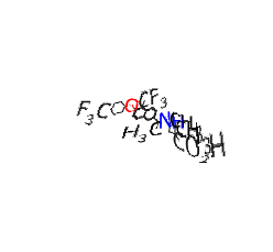 C[C@H](NC1CC(C(=O)O)C1(C)C)c1ccc2c(C(F)(F)F)c(O[C@H]3CC[C@@H](C(F)(F)F)CC3)ccc2c1